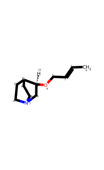 CC=CCO[C@H]1CN2CCC1CC2